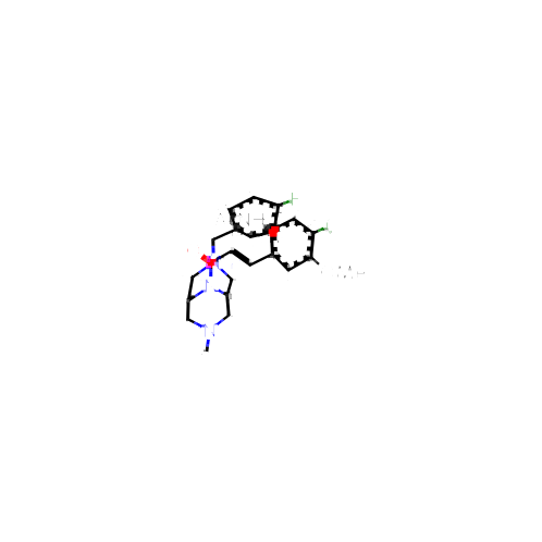 COc1cc(/C=C/C(=O)N2C3CN(C)CC2CN(Cc2ccc(F)cc2)C3)c(NC(C)=O)cc1Cl